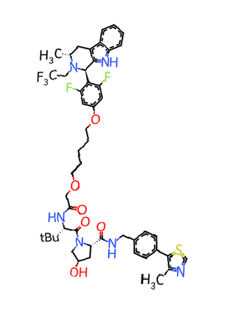 Cc1ncsc1-c1ccc(CNC(=O)[C@@H]2C[C@@H](O)CN2C(=O)[C@@H](NC(=O)COCCCCCOc2cc(F)c([C@@H]3c4[nH]c5ccccc5c4C[C@@H](C)N3CC(F)(F)F)c(F)c2)C(C)(C)C)cc1